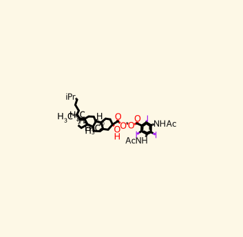 CC(=O)Nc1c(I)c(NC(C)=O)c(I)c(C(=O)OCOC(=O)C2(O)CC[C@@]3(C)C(=CC[C@H]4[C@@H]5CC[C@H]([C@H](C)CCCC(C)C)[C@@]5(C)CC[C@@H]43)C2)c1I